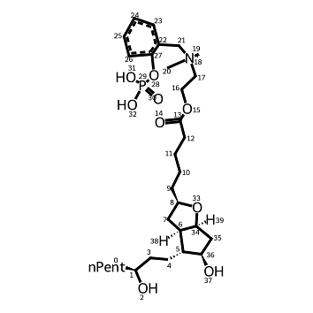 CCCCC[C@H](O)CC[C@@H]1[C@H]2C[C@@H](CCCCC(=O)OCC[N+](C)(C)Cc3ccccc3OP(=O)(O)O)O[C@H]2C[C@H]1O